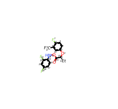 CC[C@H](Oc1ccc(F)c(C(F)(F)F)c1)C(=O)ONc1ccc(F)cc1F